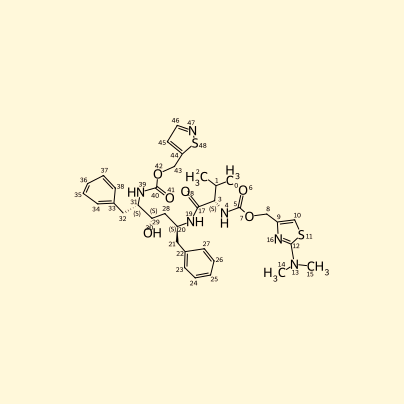 CC(C)[C@H](NC(=O)OCc1csc(N(C)C)n1)C(=O)N[C@@H](Cc1ccccc1)C[C@H](O)[C@H](Cc1ccccc1)NC(=O)OCc1ccns1